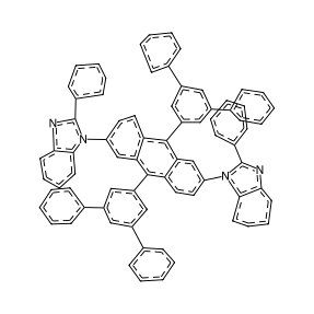 c1ccc(-c2cc(-c3ccccc3)cc(-c3c4ccc(-n5c(-c6ccccc6)nc6ccccc65)cc4c(-c4cc(-c5ccccc5)cc(-c5ccccc5)c4)c4ccc(-n5c(-c6ccccc6)nc6ccccc65)cc34)c2)cc1